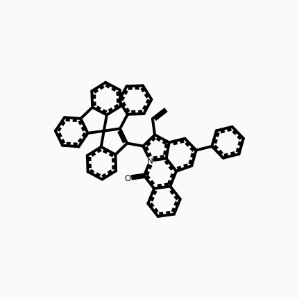 C=Cc1c(C2=C(c3ccccc3)C3(c4ccccc42)c2ccccc2-c2ccccc23)n2c(=O)c3ccccc3c3cc(-c4ccccc4)cc1c32